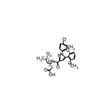 COc1cccc(OC)c1-c1cc(C(=O)N[C@H](CC(=O)O)CC(C)C)nn1-c1ccc(Cl)cc1